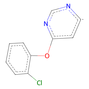 Clc1ccccc1Oc1c[c]ncn1